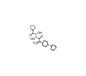 NN(C(=O)[C@H](O)[C@@H](O)C(=O)N1CCCC1)c1ccc(-c2ccccc2)cc1